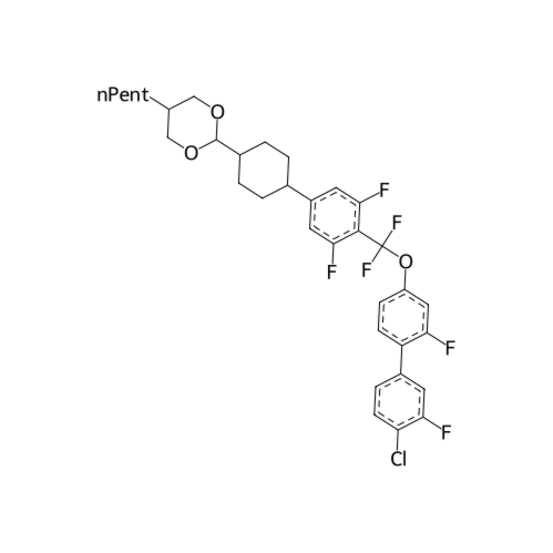 CCCCCC1COC(C2CCC(c3cc(F)c(C(F)(F)Oc4ccc(-c5ccc(Cl)c(F)c5)c(F)c4)c(F)c3)CC2)OC1